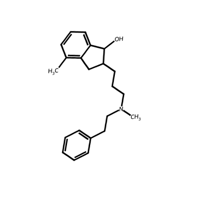 Cc1cccc2c1CC(CCCN(C)CCc1ccccc1)C2O